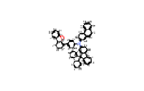 c1ccc(C2(c3ccccc3)c3ccccc3-c3ccc(N(c4ccc(-c5cccc6c5oc5ccccc56)cc4)c4ccc5c(ccc6ccccc65)c4)cc32)cc1